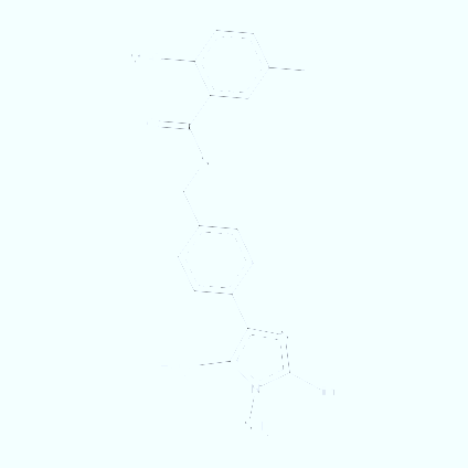 COc1ccc(F)cc1C(=O)NCc1ccc(-c2nc(C(C)C)n(N)c2C(=O)O)cc1